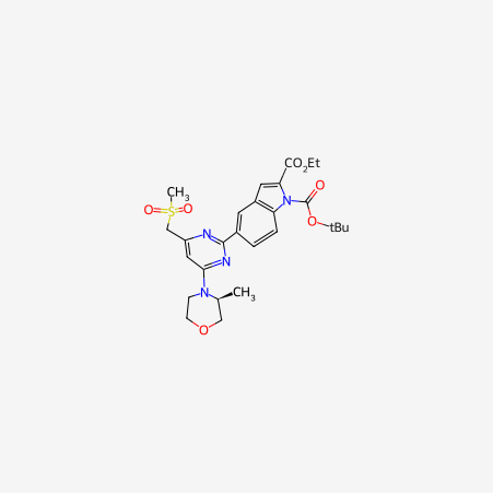 CCOC(=O)c1cc2cc(-c3nc(CS(C)(=O)=O)cc(N4CCOC[C@@H]4C)n3)ccc2n1C(=O)OC(C)(C)C